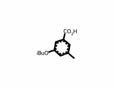 Cc1cc(OCC(C)C)cc(C(=O)O)c1